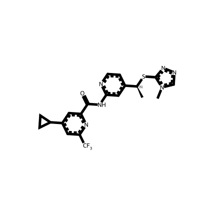 C[C@H](Sc1nncn1C)c1ccnc(NC(=O)c2cc(C3CC3)cc(C(F)(F)F)n2)c1